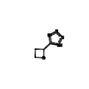 C1CC(c2nnn[nH]2)[N]1